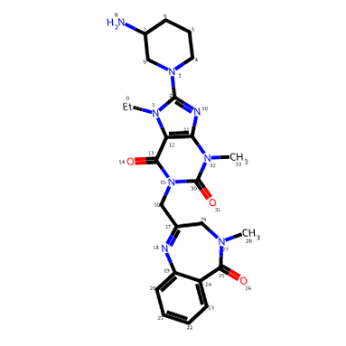 CCn1c(N2CCCC(N)C2)nc2c1c(=O)n(CC1=Nc3ccccc3C(=O)N(C)C1)c(=O)n2C